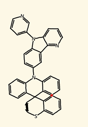 c1cncc(-n2c3ccc(N4c5ccccc5C5(c6ccccc6Sc6ccccc65)c5ccccc54)cc3c3ncccc32)c1